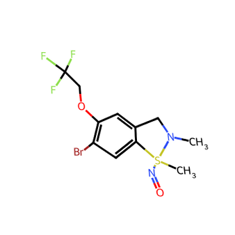 CN1Cc2cc(OCC(F)(F)F)c(Br)cc2S1(C)N=O